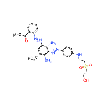 COC(=O)c1ccccc1/N=N/c1cc(S(=O)(=O)O)c(N)c(/N=N/c2ccc(NCCS(=O)(=O)CCO)cc2)c1N